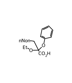 CCCCCCCCCCC(OCC)(Oc1ccccc1)C(=O)O